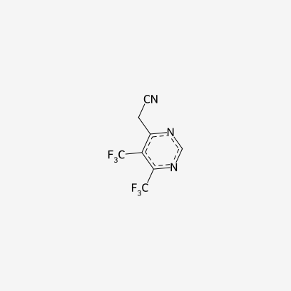 N#CCc1ncnc(C(F)(F)F)c1C(F)(F)F